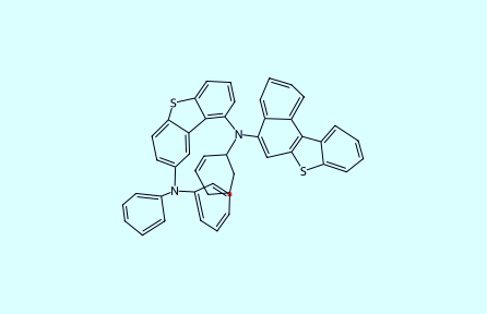 C1=CC(N(c2cc3sc4ccccc4c3c3ccccc23)c2cccc3sc4ccc(N(c5ccccc5)c5ccccc5)cc4c23)CCC1